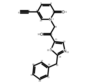 C#Cc1ccc(=O)n(CC(=O)c2cnc(Cc3ccccc3)s2)c1